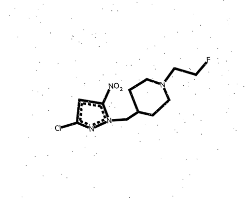 O=[N+]([O-])c1cc(Cl)nn1CC1CCN(CCF)CC1